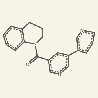 O=C(c1cncc(-c2cccnc2)c1)N1CCCc2ccccc21